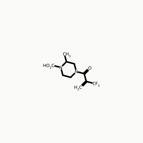 C=C(C(=O)N1CCN(C(=O)O)C(C)C1)C(F)(F)F